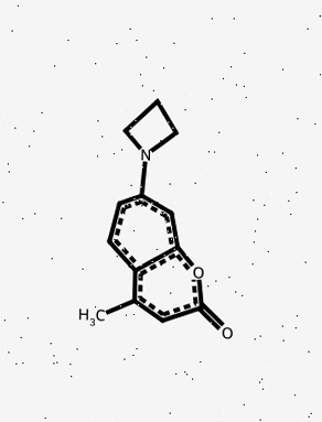 Cc1cc(=O)oc2cc(N3CCC3)ccc12